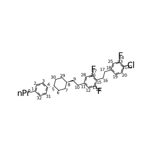 CCCc1ccc([C@H]2CC[C@H](CCc3cc(F)c(CCc4ccc(Cl)c(F)c4)c(F)c3)CC2)cc1